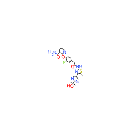 Cc1sc(NC(=O)Cc2ccc(Oc3ncccc3C(N)=O)c(F)c2)nc1-c1cnc(C(C)(C)O)nc1